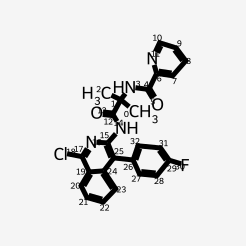 CC(C)(NC(=O)c1ccccn1)C(=O)Nc1nc(Cl)c2ccccc2c1-c1ccc(F)cc1